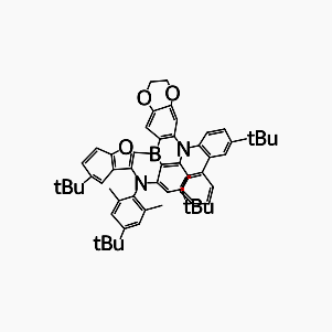 Cc1cc(C(C)(C)C)cc(C)c1N1c2cc(C(C)(C)C)cc3c2B(c2cc4c(cc2N3c2ccc(C(C)(C)C)cc2-c2ccccc2)OCCO4)c2oc3ccc(C(C)(C)C)cc3c21